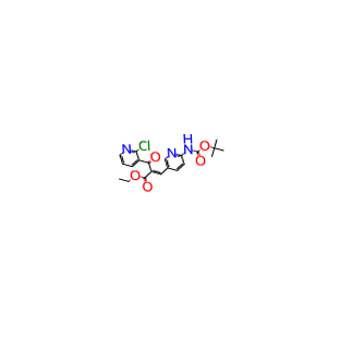 CCOC(=O)/C(=C/c1ccc(NC(=O)OC(C)(C)C)nc1)C(=O)c1cccnc1Cl